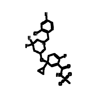 CS(=O)(=O)NC(=O)C1=C[C@](OC2CN(Cc3ccc(F)cc3Cl)CC(F)(F)C2)(C2CC2)CC=C1F